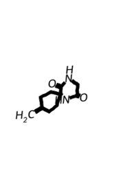 C=C1CCC2(CC1)NC(=O)CNC2=O